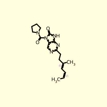 C/C=C\C=C(/C)CCc1ncc2c(n1)[nH]c(=O)n2C(=O)N1CCCC1